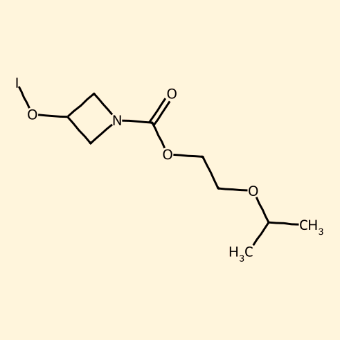 CC(C)OCCOC(=O)N1CC(OI)C1